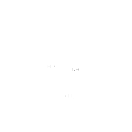 Cc1ccc(C(O)(c2ccc(C)cc2)C(N)CC(C)C)cc1